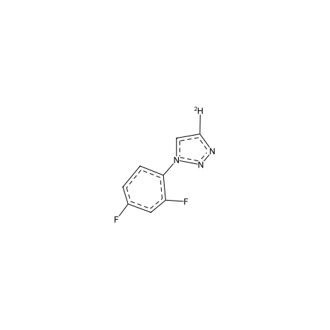 [2H]c1cn(-c2ccc(F)cc2F)nn1